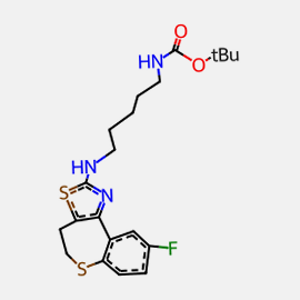 CC(C)(C)OC(=O)NCCCCCNc1nc2c(s1)CCSc1ccc(F)cc1-2